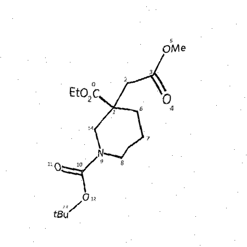 CCOC(=O)C1(CC(=O)OC)CCCN(C(=O)OC(C)(C)C)C1